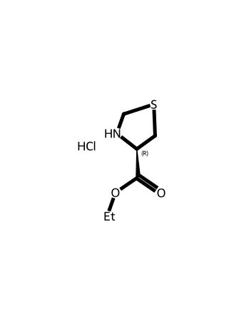 CCOC(=O)[C@@H]1CSCN1.Cl